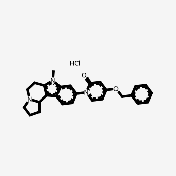 Cl.Cn1c2c(c3ccc(-n4ccc(OCc5ccccc5)cc4=O)cc31)C1CCCN1CC2